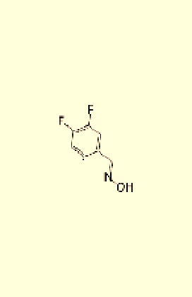 ON=Cc1[c]cc(F)c(F)c1